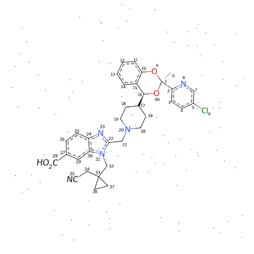 C[C@@]1(c2ccc(Cl)cn2)Oc2ccccc2[C@H](C2CCN(Cc3nc4ccc(C(=O)O)cc4n3CC3(CC#N)CC3)CC2)O1